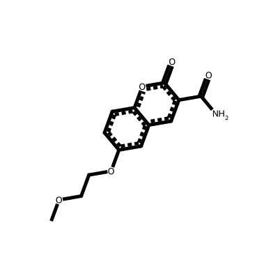 COCCOc1ccc2oc(=O)c(C(N)=O)cc2c1